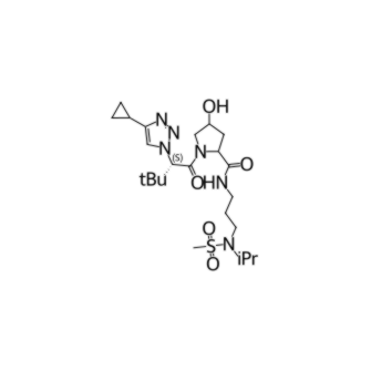 CC(C)N(CCCNC(=O)C1CC(O)CN1C(=O)[C@@H](n1cc(C2CC2)nn1)C(C)(C)C)S(C)(=O)=O